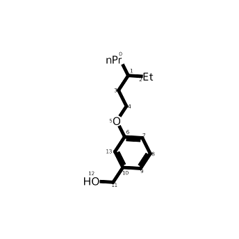 CCCC(CC)CCOc1cccc(CO)c1